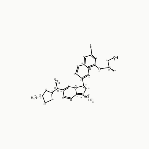 C[C@H](CO)Oc1cc(F)cc2ccc(-c3nnc4ccc([C@@H](N5CC[C@H](N)C5)C(F)(F)F)cn34)nc12.Cl.Cl